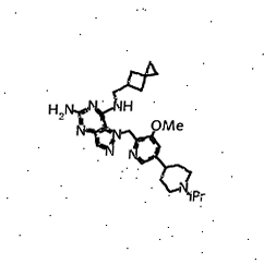 COc1cc(C2CCN(C(C)C)CC2)cnc1Cn1ncc2nc(N)nc(NCC3CC4(CC4)C3)c21